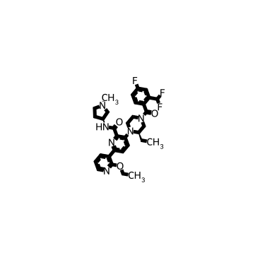 CCOc1ncccc1-c1ccc(N2CCN(C(=O)c3ccc(F)cc3C(F)F)C[C@H]2CC)c(C(=O)N[C@@H]2CCN(C)C2)n1